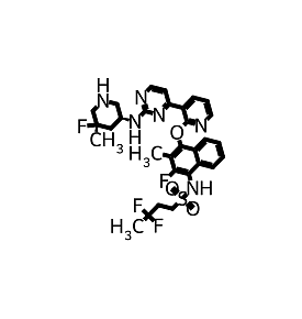 Cc1c(F)c(NS(=O)(=O)CCC(C)(F)F)c2ccccc2c1Oc1ncccc1-c1ccnc(N[C@@H]2CNC[C@@](C)(F)C2)n1